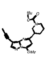 CC#Cc1cnn2c(OC)cc(C3CCCN(C(=O)OC(C)(C)C)C3)nc12